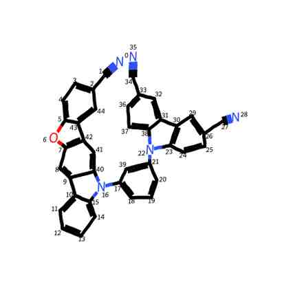 N#Cc1ccc2oc3cc4c5ccccc5n(-c5cccc(-n6c7ccc(C#N)cc7c7cc(C#N)ccc76)c5)c4cc3c2c1